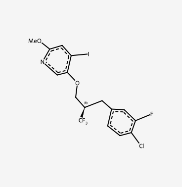 COc1cc(I)c(OC[C@@H](Cc2ccc(Cl)c(F)c2)C(F)(F)F)cn1